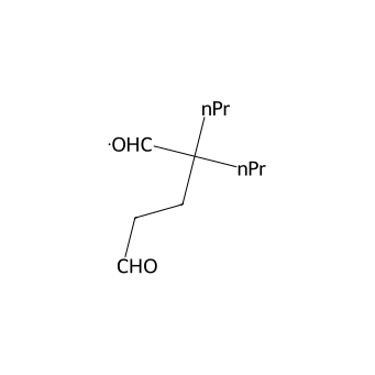 CCCC([C]=O)(CCC)CCC=O